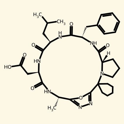 CC(C)C[C@H]1NC(=O)[C@H](Cc2ccccc2)NC(=O)[C@@H]2CCCN2C2(CCCCC2)c2nnc(o2)[C@H](C)NC(=O)[C@@H](CC(=O)O)NC1=O